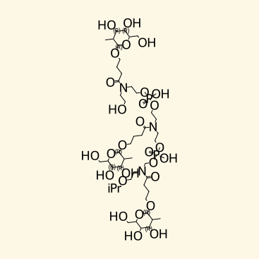 CC(C)OCCN(COP(=O)(O)OCCN(CCOP(=O)(O)OCCN(CCO)C(=O)CCCO[C@@H]1OC(CO)[C@H](O)[C@H](O)C1C)C(=O)CCCO[C@@H]1OC(CO)[C@H](O)[C@H](O)C1C)C(=O)CCCO[C@@H]1OC(CO)C(O)[C@H](O)C1C